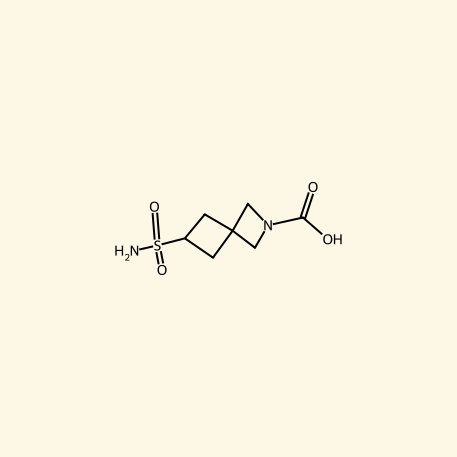 NS(=O)(=O)C1CC2(C1)CN(C(=O)O)C2